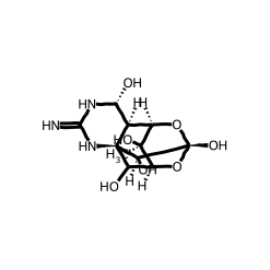 C[C@]1(O)[C@@H]2O[C@]3(O)O[C@H]1C(O)[C@@]1(NC(=N)N[C@H](O)[C@@H]21)[C@@H]3O